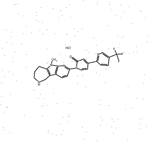 Cl.Cn1c2c(c3ccc(-n4ccc(-c5ccc(C(F)(F)F)cn5)cc4=O)nc31)CNCCC2